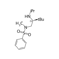 CC(C)N[C@H](CN(C)S(=O)(=O)c1ccccc1)C(C)(C)C